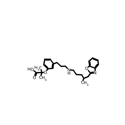 CC(CCCNCCCc1cccc(OC(C)(C)C(=O)O)c1)Cc1nc2ccccc2o1